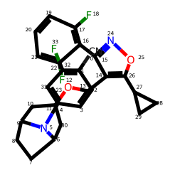 N#Cc1ccc(N2C3CCC2CC(OCc2c(-c4c(F)cccc4F)noc2C2CC2)C3)cc1F